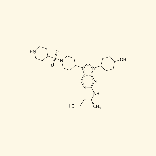 CCC[C@H](C)Nc1ncc2c(C3CCN(S(=O)(=O)C4CCNCC4)CC3)cn(C3CCC(O)CC3)c2n1